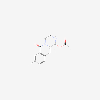 O=C1c2cc(C(F)(F)F)ccc2C[C@@H]2C(OC(=O)C(F)(F)F)NCCN12